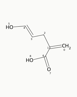 C=C(CC=CO)C(=O)O